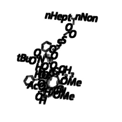 CCCCCCCCCC(CCCCCCC)COC(=O)CSSCC(=O)O[C@H](C(=O)O[C@@H]1C[C@]2(O)[C@H](OC(=O)c3ccccc3)[C@H]3[C@@]4(OC(C)=O)CO[C@H]4C[C@@H](OC)[C@]3(C)C(=O)[C@@H](OC)C(=C1C)C2(C)C)[C@H](NC(=O)OC(C)(C)C)c1ccccc1